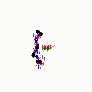 Cc1ccc(CNC(=O)Cc2ccc(N(C)C(=O)CCN3CCC(OC(=O)Nc4ccccc4-c4ccccc4)CC3)cc2)cc1CC(C)NC[C@H](O)c1ccc(O)c2[nH]c(=O)ccc12.O=C(O)C(F)(F)F.O=C(O)C(F)(F)F